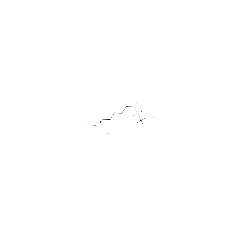 CO[SiH](CCCCCN(C)[Si](C)(C)C(C)(C)C)OC